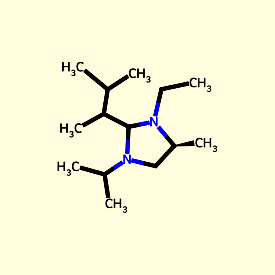 CCN1C(C(C)C(C)C)N(C(C)C)C[C@@H]1C